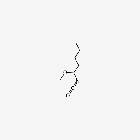 CCCCC(N=C=O)OC